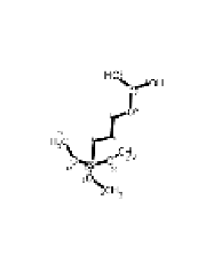 CO[Si](CCCOP(O)O)(OC)OC